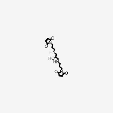 O=C1C=CC(=O)N1CCCNCC(O)CNCCCN1C(=O)C=CC1=O